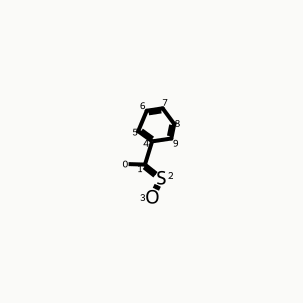 CC(=S=O)c1ccccc1